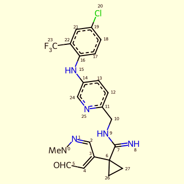 CN/N=C\C(=C/C=O)C1(C(=N)NCc2ccc(Nc3ccc(Cl)cc3C(F)(F)F)cn2)CC1